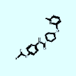 Cc1cccc(O[C@H]2CC[C@@H](C(=O)Nc3ccc(OC(F)F)cc3)CC2)n1